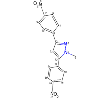 Cn1nc(-c2ccc([N+](=O)[O-])cc2)cc1-c1ccc([N+](=O)[O-])cc1